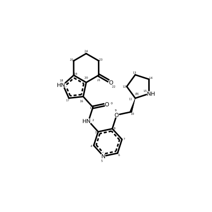 O=C(Nc1cnccc1OC[C@H]1CCCN1)c1c[nH]c2c1C(=O)CCC2